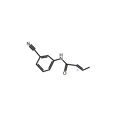 C/C=C/C(=O)Nc1cccc(C#N)c1